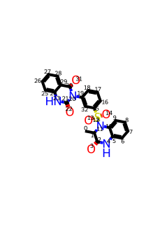 CC1C(=O)Nc2ccccc2N1S(=O)(=O)c1cccc(-n2c(=O)[nH]c3ccccc3c2=O)c1